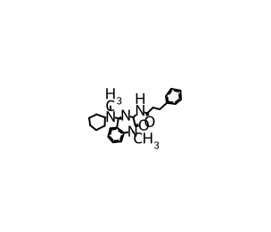 CN1C(=O)C(NC(=O)CCc2ccccc2)N=C(N(C)C2CCCCC2)c2ccccc21